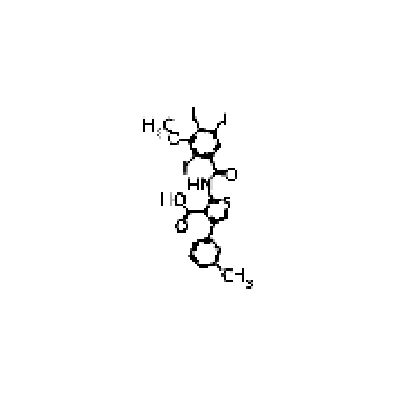 COc1c(I)c(I)cc(C(=O)Nc2scc(-c3cccc(C)c3)c2C(=O)O)c1I